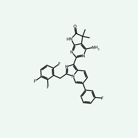 CC1(C)C(=O)Nc2nc(-c3nc(Cc4c(F)ccc(F)c4F)n4cc(-c5cccc(F)c5)ccc34)nc(N)c21